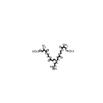 CCCCCCCCSCC(C)C(=O)OCCOC(=O)CCN(CCCNCCC)CCC(=O)OCCOC(=O)C(C)CSCCCCCCCC